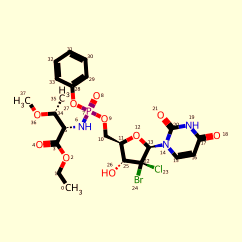 CCOC(=O)[C@@H](NP(=O)(OC[C@H]1O[C@@H](n2ccc(=O)[nH]c2=O)[C@](Cl)(Br)[C@@H]1O)Oc1ccccc1)[C@@H](C)OC